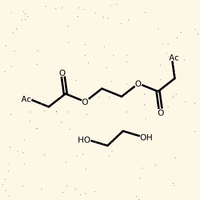 CC(=O)CC(=O)OCCOC(=O)CC(C)=O.OCCO